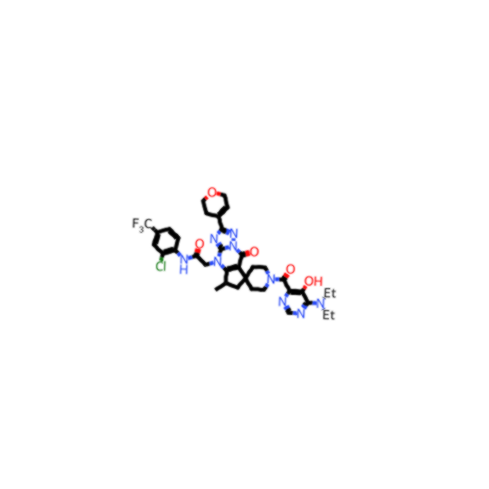 CCN(CC)c1ncnc(C(=O)N2CCC3(CC2)CC(C)c2c3c(=O)n3nc(C4=CCOCC4)nc3n2CC(=O)Nc2ccc(C(F)(F)F)cc2Cl)c1O